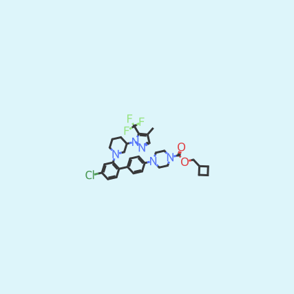 Cc1cnn(C2CCCN(c3cc(Cl)ccc3-c3ccc(N4CCN(C(=O)OCC5CCC5)CC4)cc3)C2)c1C(F)(F)F